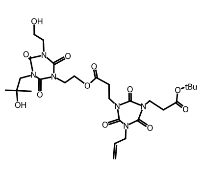 C=CCn1c(=O)n(CCC(=O)OCCn2c(=O)n(CCO)c(=O)n(CC(C)(C)O)c2=O)c(=O)n(CCC(=O)OC(C)(C)C)c1=O